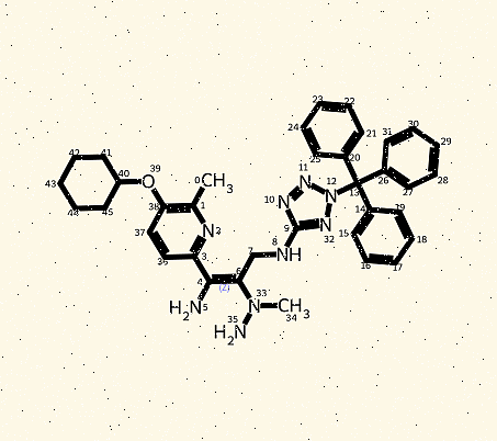 Cc1nc(/C(N)=C(\CNc2nnn(C(c3ccccc3)(c3ccccc3)c3ccccc3)n2)N(C)N)ccc1OC1CCCCC1